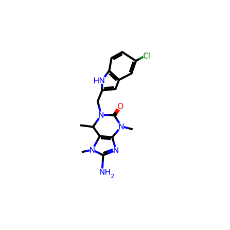 CC1c2c(nc(N)n2C)N(C)C(=O)N1Cc1cc2cc(Cl)ccc2[nH]1